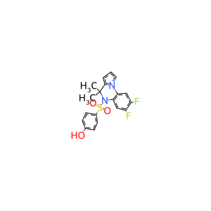 CC1(C)c2cccn2-c2cc(F)c(F)cc2N1S(=O)(=O)c1ccc(O)cc1